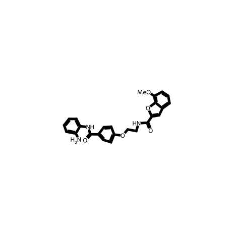 COc1cccc2cc(C(=O)NCCOc3ccc(C(=O)Nc4ccccc4N)cc3)oc12